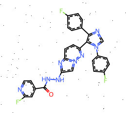 O=C(NNc1cn2nc(-c3c(-c4ccc(F)cc4)ncn3-c3ccc(F)cc3)ccc2n1)c1ccnc(F)c1